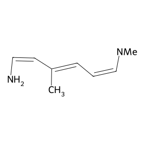 CN\C=C/C=C(C)/C=C\N